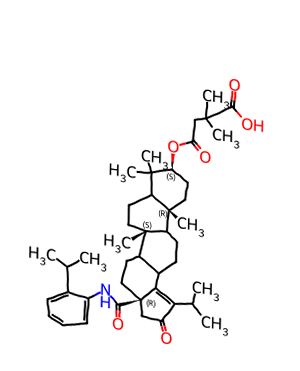 CC(C)C1=C2C3CCC4[C@@](C)(CCC5C(C)(C)[C@@H](OC(=O)CC(C)(C)C(=O)O)CC[C@@]54C)C3CC[C@@]2(C(=O)Nc2ccccc2C(C)C)CC1=O